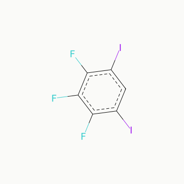 Fc1c(I)cc(I)c(F)c1F